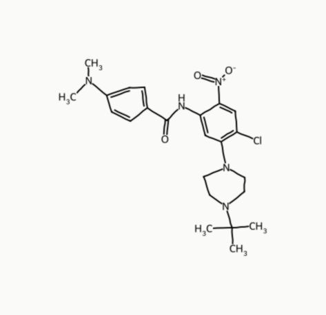 CN(C)c1ccc(C(=O)Nc2cc(N3CCN(C(C)(C)C)CC3)c(Cl)cc2[N+](=O)[O-])cc1